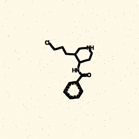 O=C(NC1CCNCC1CCCCl)c1ccccc1